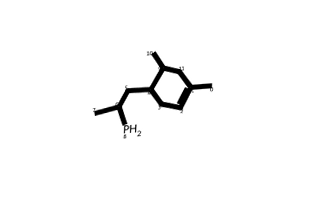 CC1=CCC(CC(C)P)C(C)C1